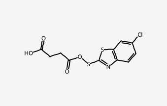 O=C(O)CCC(=O)OSc1nc2ccc(Cl)cc2s1